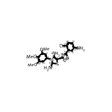 COc1cc(N2C(N)=C(c3nc(-c4cc(N)ccc4Cl)no3)SC2N)cc(OC)c1OC